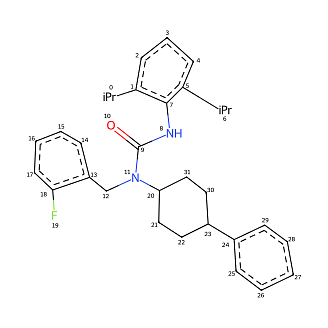 CC(C)c1cccc(C(C)C)c1NC(=O)N(Cc1ccccc1F)C1CCC(c2ccccc2)CC1